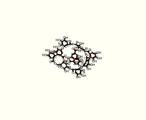 O=C(O[C@@H]1[C@H]2OC(=O)c3cc4c(O)c(O)c3-c3c(cc(O)c(O)c3O)C(=O)OC[C@@H]2OC(O)[C@H]1OC(=O)c1cc(O)c(O)c(O)c1Oc1cc2c(c(O)c1O)-c1c(cc(O)c(O)c1O)C(=O)O[C@H]1[C@H](OC(=O)c3cc(O)c(O)c(O)c3)[C@H](OC(=O)c3cc(O)c(O)c(O)c3O4)C(O)O[C@H]1COC2=O)c1cc(O)c(O)c(O)c1